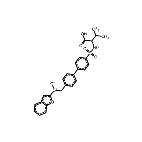 CC(C)C(NS(=O)(=O)c1ccc(-c2ccc(C[S+]([O-])c3cc4ccccc4o3)cc2)cc1)C(=O)O